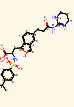 CC(C)c1ccc(S(=O)(=O)NC(Cc2occ3cc(CCC(=O)NC4=NCCCN4)ccc23)C(=O)O)cc1